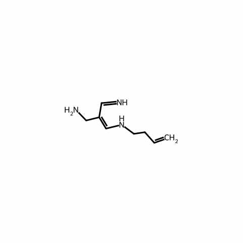 C=CCCN/C=C(\C=N)CN